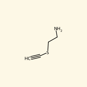 C#CSCCN